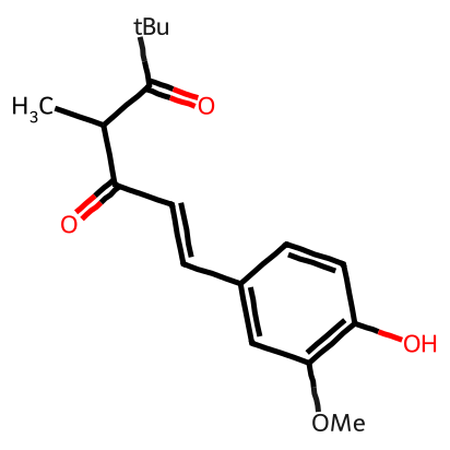 COc1cc(C=CC(=O)C(C)C(=O)C(C)(C)C)ccc1O